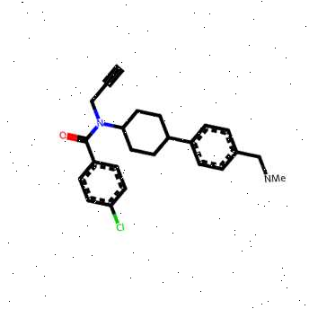 C#CCN(C(=O)c1ccc(Cl)cc1)C1CCC(c2ccc(CNC)cc2)CC1